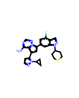 Nc1ncnn2c(-c3cc(F)c4cnn(C5CCSCC5)c4c3)cc(-c3ccnn3C3CC3)c12